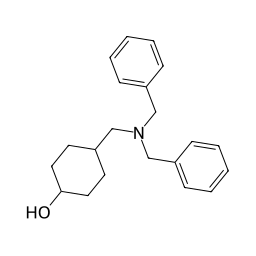 OC1CCC(CN(Cc2ccccc2)Cc2ccccc2)CC1